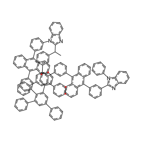 CC(c1cccc(-c2cc(-c3ccccc3)cc(-c3ccccc3)c2-c2cccc(-c3c4ccccc4c(-c4cccc(-c5nc6ccccc6n5-c5ccccc5)c4)c4ccccc34)c2)c1)c1nc2ccccc2n1-c1cccc(-c2c3ccccc3c(-c3cccc(-c4c(-c5ccccc5)cc(-c5ccccc5)cc4-c4ccccc4)c3)c3ccccc23)c1